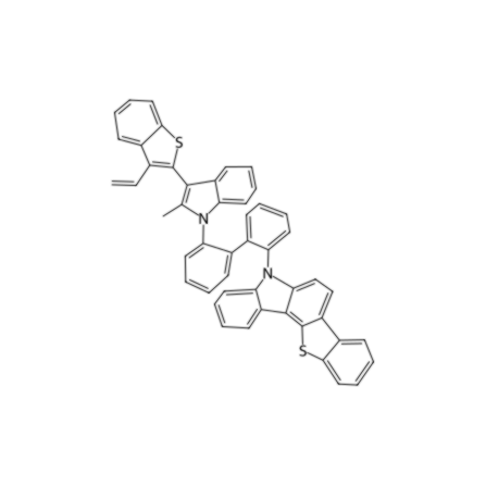 C=Cc1c(-c2c(C)n(-c3ccccc3-c3ccccc3-n3c4ccccc4c4c5sc6ccccc6c5ccc43)c3ccccc23)sc2ccccc12